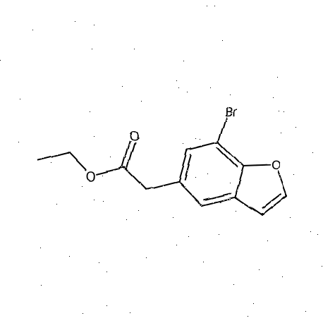 CCOC(=O)Cc1cc(Br)c2occc2c1